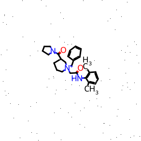 Cc1cccc(C)c1NC(=O)C[N+]1(Cc2ccccc2)CCCC(C(=O)N2CCCC2)C1